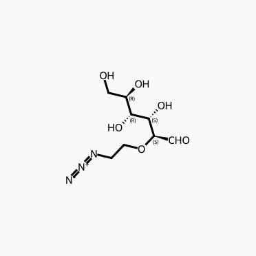 [N-]=[N+]=NCCO[C@H](C=O)[C@@H](O)[C@H](O)[C@H](O)CO